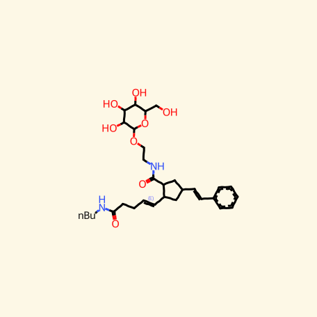 CCCCNC(=O)CC/C=C/C1CC(C=Cc2ccccc2)CC1C(=O)NCCOC1OC(CO)C(O)C(O)C1O